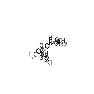 CC(C)(C)[Si](C)(C)OCCNc1ccc(NC(=O)c2ccc(C(F)(F)F)cc2NC(=O)c2ccc(Cl)s2)cc1